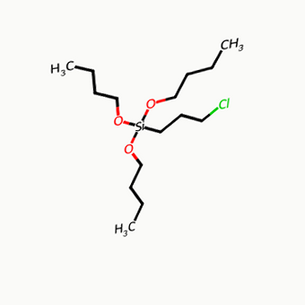 CCCCO[Si](CCCCl)(OCCCC)OCCCC